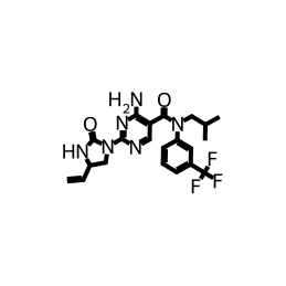 C=CC1CN(c2ncc(C(=O)N(CC(C)C)c3cccc(C(F)(F)F)c3)c(N)n2)C(=O)N1